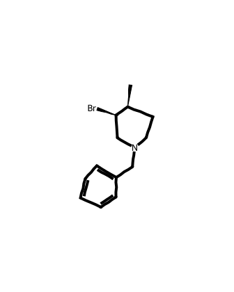 C[C@H]1CCN(Cc2ccccc2)C[C@H]1Br